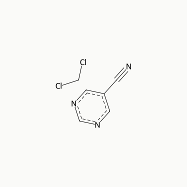 ClCCl.N#Cc1cncnc1